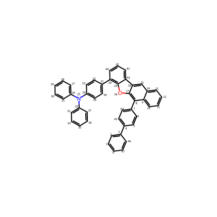 c1ccc(-c2ccc(-c3c4ccccc4cc4c3oc3c(-c5ccc(N(c6ccccc6)c6ccccc6)cc5)cccc34)cc2)cc1